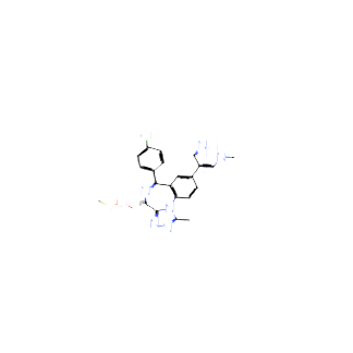 CN/C=C(\C=N)c1ccc2c(c1)C(c1ccc(Cl)cc1)=N[C@@H](COSC)c1nnc(C)n1-2